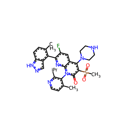 Cc1ccnc(C(C)C)c1-n1c(=O)c(S(C)(=O)=O)c(N2CCNCC2)c2cc(F)c(-c3c(C)ccc4[nH]ncc34)nc21